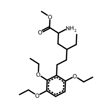 CCOc1ccc(OCC)c(OCC)c1CCC(CC)CC(N)C(=O)OC